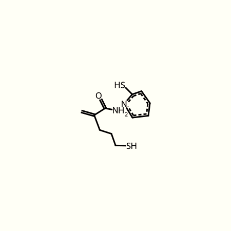 C=C(CCCS)C(N)=O.Sc1ccccn1